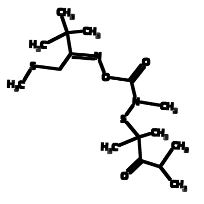 CSC/C(=N\OC(=O)N(C)SC(C)(C)C(=O)C(C)C)C(C)(C)C